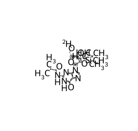 [2H]OC[C@H]1O[C@@H](n2cnc3c(=O)[nH]c(NC(=O)C(C)C)nc32)C(O[Si](C)(C)C(C)(C)C)[C@H]1O